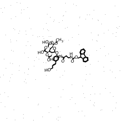 COC(=O)[C@H]1O[C@@H](Oc2ccc(C=CCO)cc2NC(=O)CCNC(=O)OCC2c3ccccc3-c3ccccc32)[C@H](CC(=O)O)[C@@H](CC(=O)O)[C@@H]1CC(=O)O